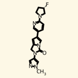 Cn1cc(N2Cc3cc(-c4ccc(N5CC[C@H](F)C5)nc4)cn3C2=O)cn1